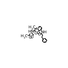 CC(=O)C[C@@H](C=O)NC(=O)[C@H](C)n1cccc(NC(=O)CCc2ccccc2)c1=O